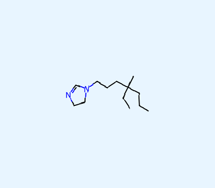 CCCC(C)(CC)CCCN1C=NCC1